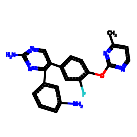 Cc1ccnc(Oc2ccc(-c3cnc(N)nc3-c3cccc(N)c3)cc2F)n1